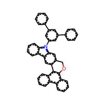 c1ccc(-c2cc(-c3ccccc3)cc(-n3c4ccccc4c4cc5c(cc43)COc3c-5c4ccccc4c4ccccc34)c2)cc1